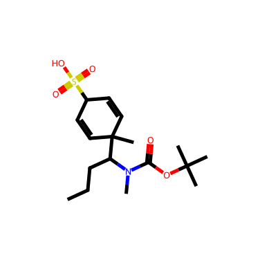 CCCC(N(C)C(=O)OC(C)(C)C)C1(C)C=CC(S(=O)(=O)O)C=C1